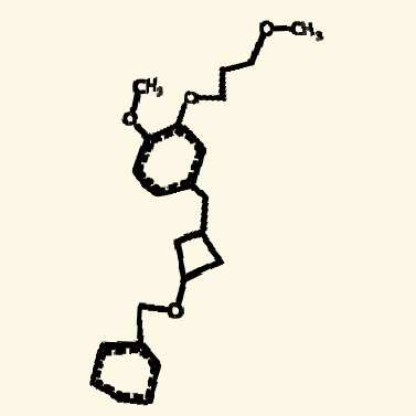 COCCCOc1cc(CC2CC(OCc3ccccc3)C2)ccc1OC